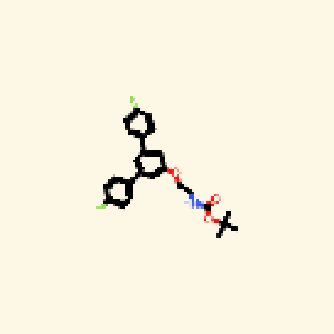 CC(C)(C)OC(=O)NCCOc1cc(-c2ccc(F)cc2)cc(-c2ccc(F)cc2)c1